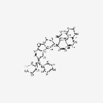 C1=CC2Oc3ccc(N(c4ccccc4)c4ccccc4)cc3C2C=C1c1ccc2ccc3cccc4ccc1c2c34